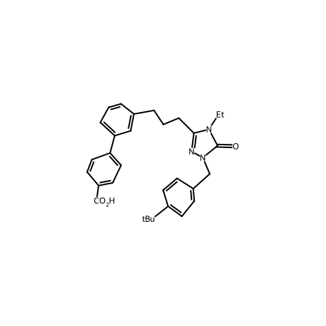 CCn1c(CCCc2cccc(-c3ccc(C(=O)O)cc3)c2)nn(Cc2ccc(C(C)(C)C)cc2)c1=O